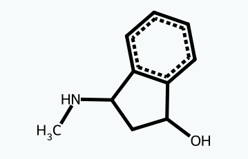 CNC1CC(O)c2ccccc21